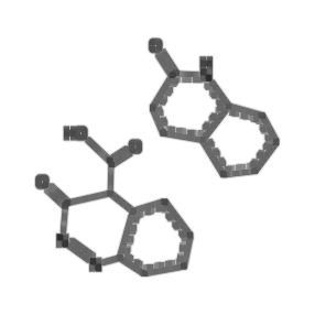 O=C(O)C1C(=O)N=Nc2ccccc21.O=c1ccc2ccccc2[nH]1